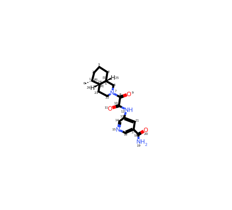 C[C@@H]1CCC[C@@H]2CN(C(=O)C(=O)Nc3cncc(C(N)=O)c3)CC[C@@H]21